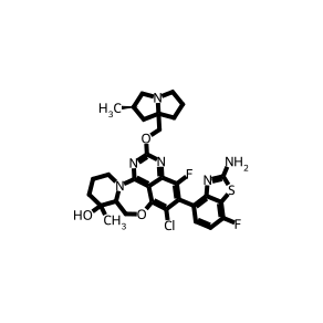 C[C@H]1CN2CCCC2(COc2nc3c4c(c(Cl)c(-c5ccc(F)c6sc(N)nc56)c(F)c4n2)OCC2N3CCCC2(C)O)C1